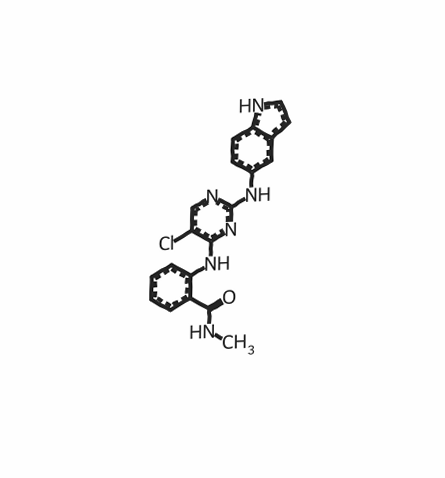 CNC(=O)c1ccccc1Nc1nc(Nc2ccc3[nH]ccc3c2)ncc1Cl